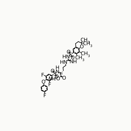 COC(=O)[C@@H](CCCNC(=N)NS(=O)(=O)c1cc2c(c(C)c1C)OC(C)(C)CC2)NS(=O)(=O)c1cc(F)c(Oc2ccc(F)cc2)c(F)c1